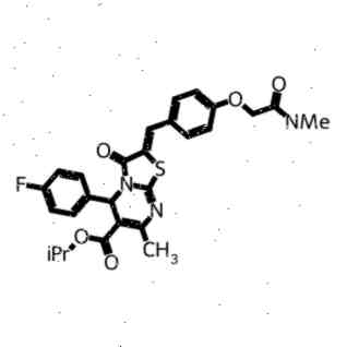 CNC(=O)COc1ccc(/C=c2\sc3n(c2=O)C(c2ccc(F)cc2)C(C(=O)OC(C)C)=C(C)N=3)cc1